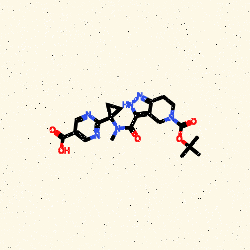 CN(C(=O)c1[nH]nc2c1CN(C(=O)OC(C)(C)C)CC2)C1(c2ncc(C(=O)O)cn2)CC1